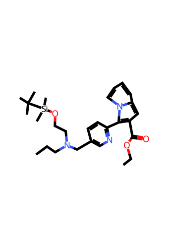 CCCN(CCO[Si](C)(C)C(C)(C)C)Cc1ccc(-c2c(C(=O)OCC)cc3ccccn23)nc1